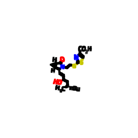 CCCC[C@H](C)C[C@H](O)/C=C/[C@H]1[C@@H]2C[C@@H]2C(=O)N1CCSc1nc(C(=O)O)cs1